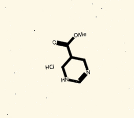 COC(=O)C1CN=CNC1.Cl